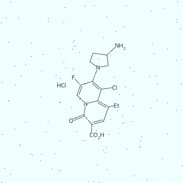 CCc1cc(C(=O)O)c(=O)n2cc(F)c(N3CCC(N)C3)c(Cl)c12.Cl